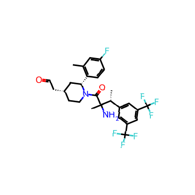 Cc1cc(F)ccc1[C@H]1C[C@@H](CC=O)CCN1C(=O)C(C)(N)[C@H](C)c1cc(C(F)(F)F)cc(C(F)(F)F)c1